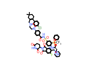 CC1(C)CCC(c2ccc(Cl)cc2)=C(CN2CCN(c3ccc(C(=O)NS(=O)(=O)c4ccc(N[C@H](CCN5C6CC5CN(Cc5cc7c(cc5F)C(=O)N(C5CCC(=O)NC5=O)C7=O)C6)CSc5ccccc5)c(S(=O)(=O)C(F)(F)F)c4)cc3)CC2)C1